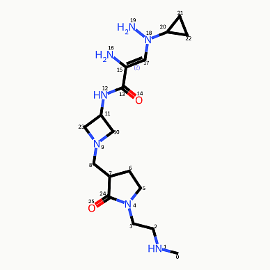 CNCCN1CCC(CN2CC(NC(=O)/C(N)=C/N(N)C3CC3)C2)C1=O